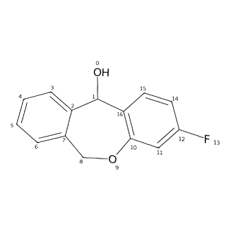 OC1c2ccccc2COc2cc(F)ccc21